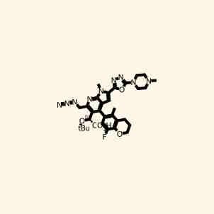 Cc1c(-c2c([C@H](OC(C)(C)C)C(=O)O)c(CN=[N+]=[N-])nc3c2cc(-c2nnc(N4CCN(C)CC4)o2)n3C)cc(F)c2c1CCCO2